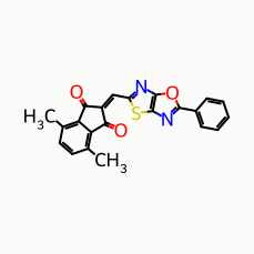 Cc1ccc(C)c2c1C(=O)C(=Cc1nc3oc(-c4ccccc4)nc3s1)C2=O